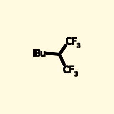 CCC(C)C(C(F)(F)F)C(F)(F)F